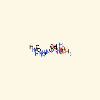 Cc1ccc(Nc2ncc3c(n2)CN([C@H]2CCN(C(=O)c4ccnc(NS(C)(=O)=O)c4)[C@H](C)C2)C3)cc1C#N